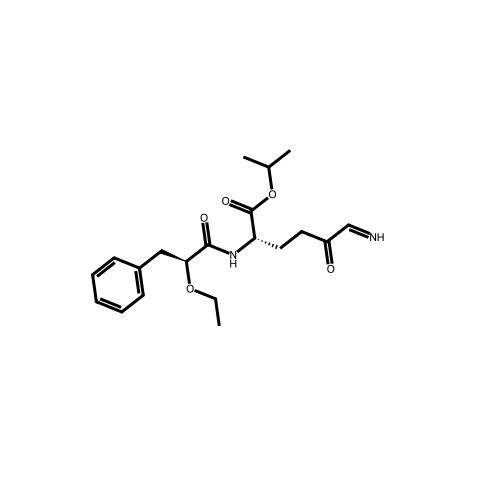 CCO[C@@H](Cc1ccccc1)C(=O)N[C@@H](CCC(=O)C=N)C(=O)OC(C)C